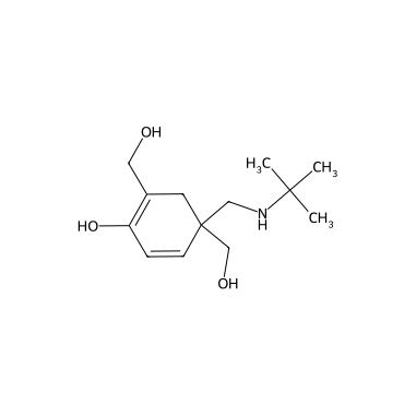 CC(C)(C)NCC1(CO)C=CC(O)=C(CO)C1